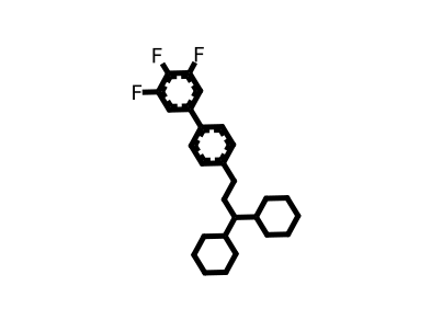 Fc1cc(-c2ccc(CCC(C3CCCCC3)C3CCCCC3)cc2)cc(F)c1F